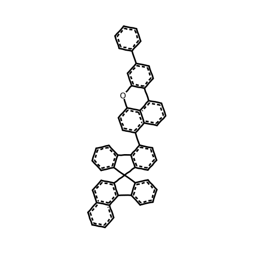 c1ccc(-c2ccc3c(c2)Oc2ccc(-c4cccc5c4-c4ccccc4C54c5ccccc5-c5c4ccc4ccccc54)c4cccc-3c24)cc1